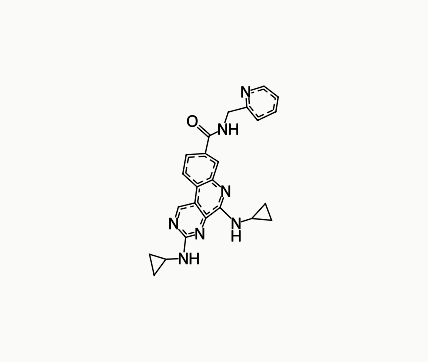 O=C(NCc1ccccn1)c1ccc2c(c1)nc(NC1CC1)c1nc(NC3CC3)ncc12